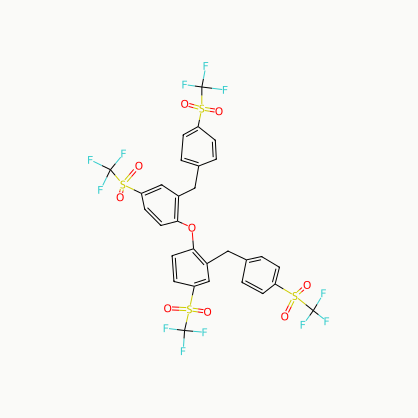 O=S(=O)(c1ccc(Cc2cc(S(=O)(=O)C(F)(F)F)ccc2Oc2ccc(S(=O)(=O)C(F)(F)F)cc2Cc2ccc(S(=O)(=O)C(F)(F)F)cc2)cc1)C(F)(F)F